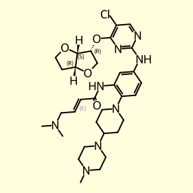 CN(C)C/C=C/C(=O)Nc1cc(Nc2ncc(Cl)c(O[C@@H]3CO[C@@H]4CCO[C@@H]43)n2)ccc1N1CCC(N2CCN(C)CC2)CC1